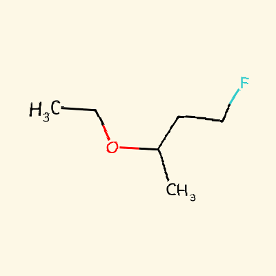 CCOC(C)CCF